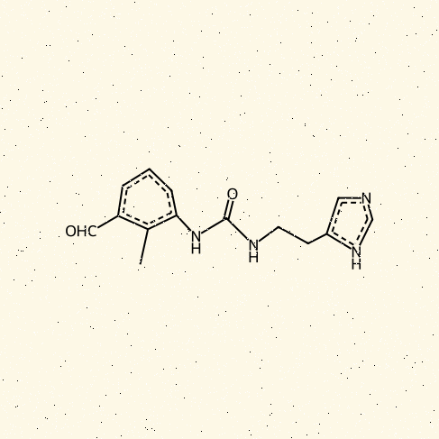 Cc1c(C=O)cccc1NC(=O)NCCc1cnc[nH]1